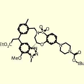 CCOC(=O)CC(c1ccc(C)c(CN2C[C@@H](C)Oc3cc(N4CCN(C(=O)OC(C)(C)C)CC4)ccc3S2(=O)=O)c1)c1cc(OC)c2c(c1)nnn2C